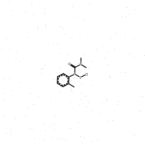 Cc1ccccc1N(SCl)C(=O)N(C)C